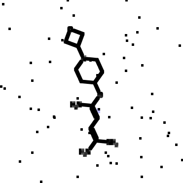 NC(N)=C/C=C(\N)OC1CCN(C2COC2)CC1